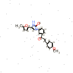 COc1ccc(C=CC(=O)c2cccc(-n3cc(-c4ccc(C)o4)[nH]c3=O)c2)cc1